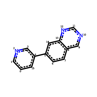 c1cncc(-c2ccc3cncnc3c2)c1